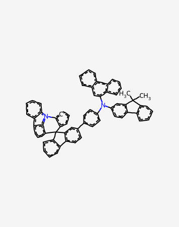 CC1(C)c2ccccc2-c2ccc(N(c3ccc(-c4ccc5c(c4)C4(c6ccccc6-5)c5ccccc5-n5c6ccccc6c6cccc4c65)cc3)c3cc4ccccc4c4ccccc34)cc21